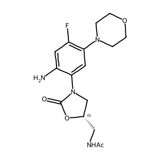 CC(=O)NC[C@H]1CN(c2cc(N3CCOCC3)c(F)cc2N)C(=O)O1